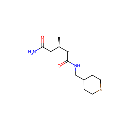 C[C@@H]([CH]C(=O)NCC1CCSCC1)CC(N)=O